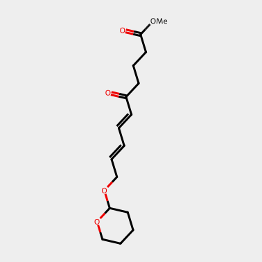 COC(=O)CCCC(=O)/C=C/C=C/COC1CCCCO1